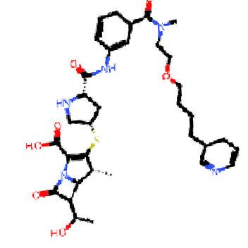 C[C@H]1C(S[C@@H]2CN[C@H](C(=O)NC3=CC(C(=O)N(C)CCOCCCCC4C=NC=CC4)CC=C3)C2)=C(C(=O)O)N2C(=O)[C@H]([C@@H](C)O)C12